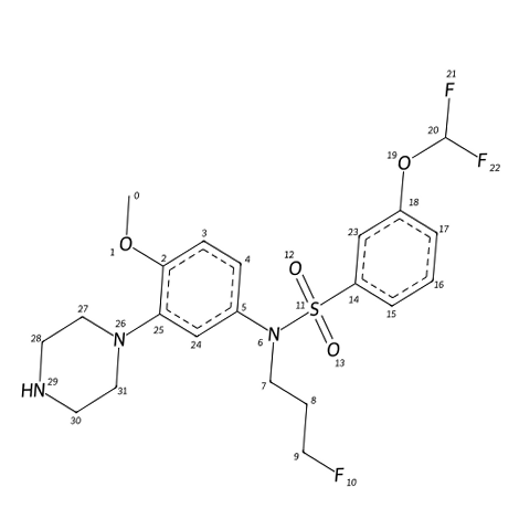 COc1ccc(N(CCCF)S(=O)(=O)c2cccc(OC(F)F)c2)cc1N1CCNCC1